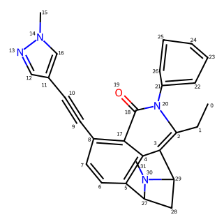 CCc1c2c3c(ccc(C#Cc4cnn(C)c4)c3c(=O)n1-c1ccccc1)C1CC2N1C